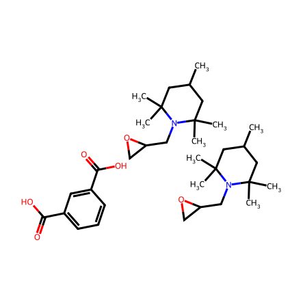 CC1CC(C)(C)N(CC2CO2)C(C)(C)C1.CC1CC(C)(C)N(CC2CO2)C(C)(C)C1.O=C(O)c1cccc(C(=O)O)c1